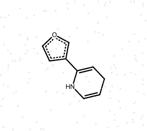 C1=CNC(c2ccoc2)=CC1